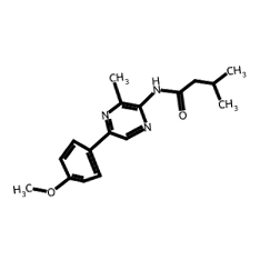 COc1ccc(-c2cnc(NC(=O)CC(C)C)c(C)n2)cc1